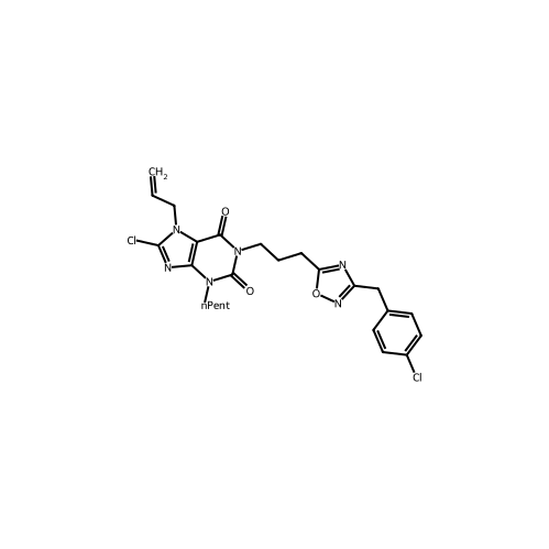 C=CCn1c(Cl)nc2c1c(=O)n(CCCc1nc(Cc3ccc(Cl)cc3)no1)c(=O)n2CCCCC